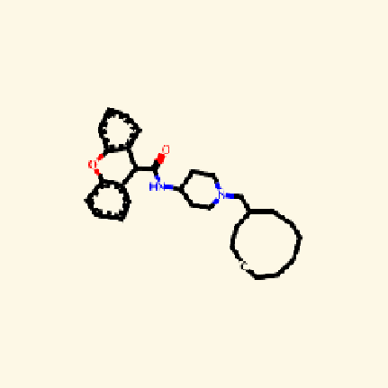 O=C(NC1CCN(CC2CCCCCCCCC2)CC1)C1c2ccccc2Oc2ccccc21